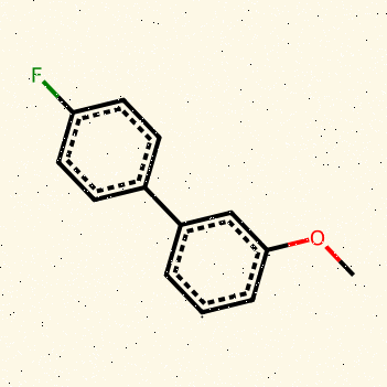 COc1c[c]cc(-c2ccc(F)cc2)c1